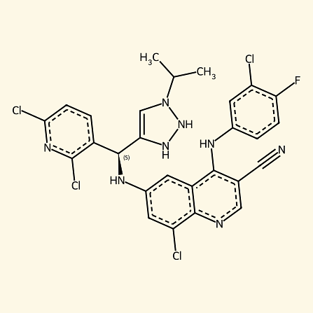 CC(C)N1C=C([C@@H](Nc2cc(Cl)c3ncc(C#N)c(Nc4ccc(F)c(Cl)c4)c3c2)c2ccc(Cl)nc2Cl)NN1